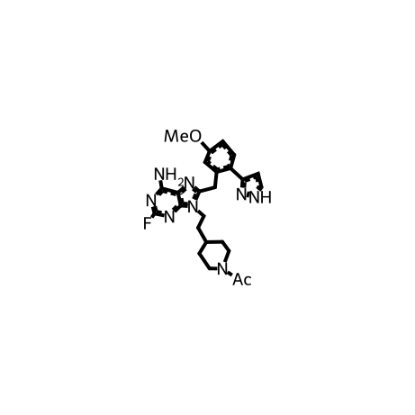 COc1ccc(-c2cc[nH]n2)c(Cc2nc3c(N)nc(F)nc3n2CCC2CCN(C(C)=O)CC2)c1